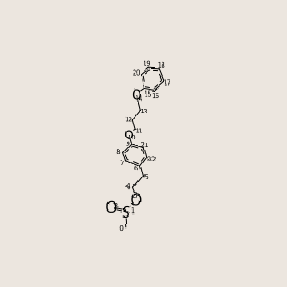 CS(=O)OCCc1ccc(OCCCOc2ccccc2)cc1